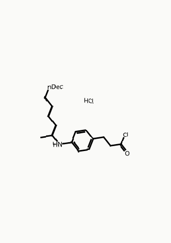 CCCCCCCCCCCCCCC(C)Nc1ccc(CCC(=O)Cl)cc1.Cl